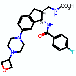 O=C(O)NC[C@@H]1Cc2ccc(N3CCN(C4COC4)CC3)cc2[C@H]1NC(=O)c1ccc(F)cc1